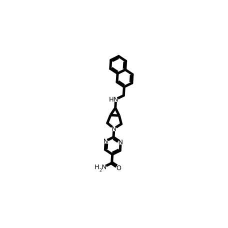 NC(=O)c1cnc(N2CC3C(C2)C3NCc2ccc3ccccc3c2)nc1